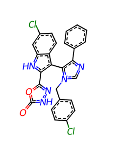 O=c1[nH]nc(-c2[nH]c3cc(Cl)ccc3c2-c2c(-c3ccccc3)ncn2Cc2ccc(Cl)cc2)o1